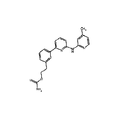 Cc1ccnc(Nc2cccc(-c3cccc(CCOC(N)=O)c3)n2)c1